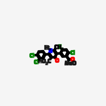 CCn1c(C)c(-c2cc(C(=O)OC)c(Cl)cc2F)c(=O)c(C(=O)O)c1-c1ccc(Cl)c(Cl)c1